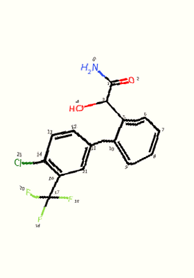 NC(=O)C(O)c1ccccc1-c1ccc(Cl)c(C(F)(F)F)c1